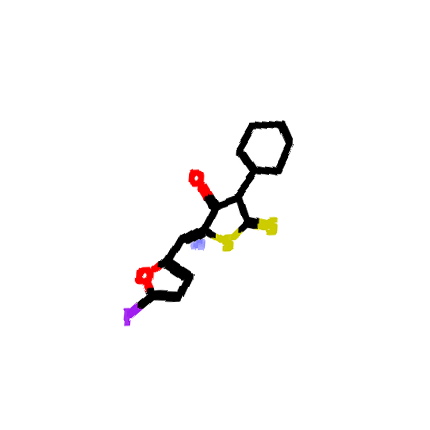 O=C1/C(=C/c2ccc(I)o2)SC(=S)C1C1CCCCC1